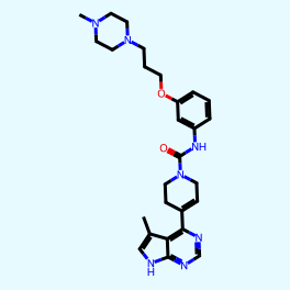 Cc1c[nH]c2ncnc(C3=CCN(C(=O)Nc4cccc(OCCCN5CCN(C)CC5)c4)CC3)c12